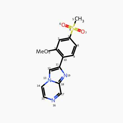 COc1cc(S(C)(=O)=O)ccc1-c1cn2ccncc2n1